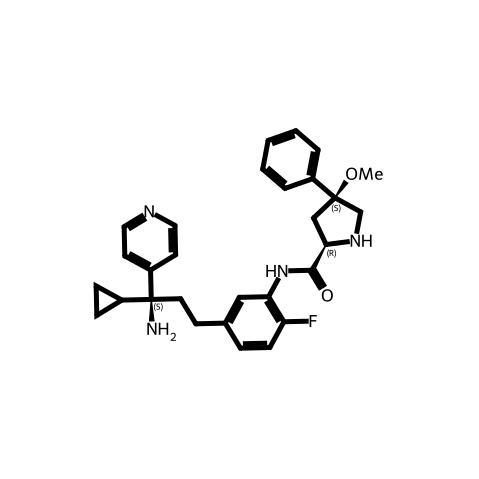 CO[C@@]1(c2ccccc2)CN[C@@H](C(=O)Nc2cc(CC[C@@](N)(c3ccncc3)C3CC3)ccc2F)C1